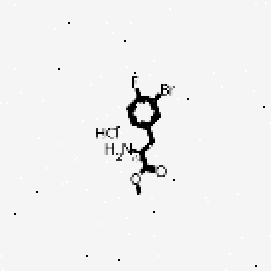 COC(=O)[C@@H](N)Cc1ccc(F)c(Br)c1.Cl